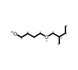 CCC(C)COCCCC[O]